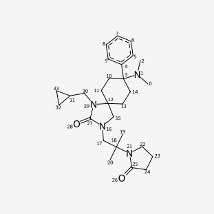 CN(C)C1(c2ccccc2)CCC2(CC1)CN(CC(C)(C)N1CCCC1=O)C(=O)N2CC1CC1